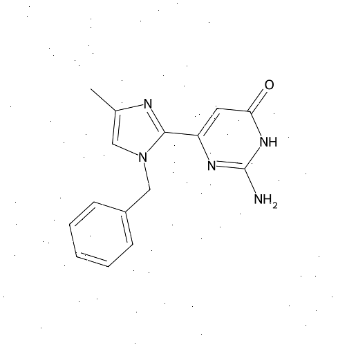 Cc1cn(Cc2ccccc2)c(-c2cc(=O)[nH]c(N)n2)n1